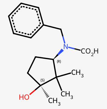 CC1(C)[C@H](N(Cc2ccccc2)C(=O)O)CC[C@]1(C)O